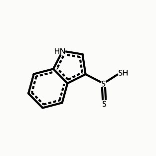 S=S(S)c1c[nH]c2ccccc12